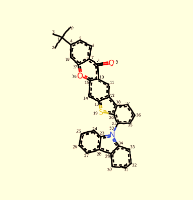 CC(C)(C)c1ccc2c(=O)c3cc4c(cc3oc2c1)sc1c(-n2c3ccccc3c3ccccc32)cccc14